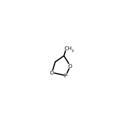 CC1CO[P]O1